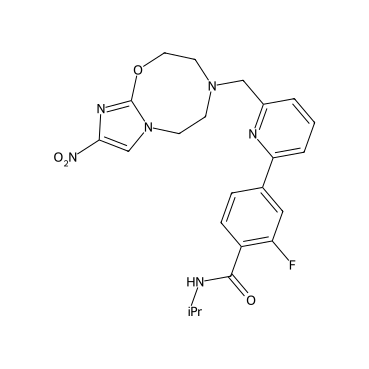 CC(C)NC(=O)c1ccc(-c2cccc(CN3CCOc4nc([N+](=O)[O-])cn4CC3)n2)cc1F